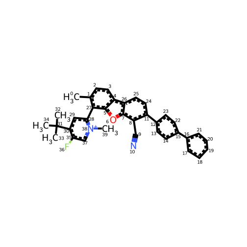 Cc1ccc2c(oc3c(C#N)c(-c4ccc(-c5ccccc5)cc4)ccc32)c1-c1cc(C(C)(C)C)c(F)c[n+]1C